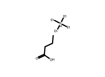 CCCC(=O)O.CC[PH](CC)(CC)CC